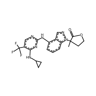 CC1(n2ncc3c(Nc4ncc(C(F)(F)F)c(NC5CC5)n4)cccc32)CCOC1=O